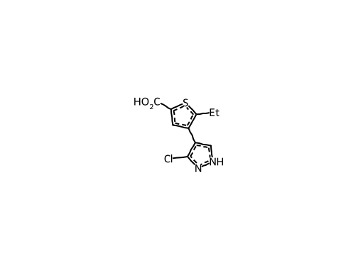 CCc1sc(C(=O)O)cc1-c1c[nH]nc1Cl